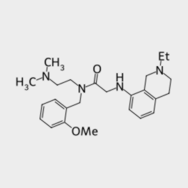 CCN1CCc2cccc(NCC(=O)N(CCN(C)C)Cc3ccccc3OC)c2C1